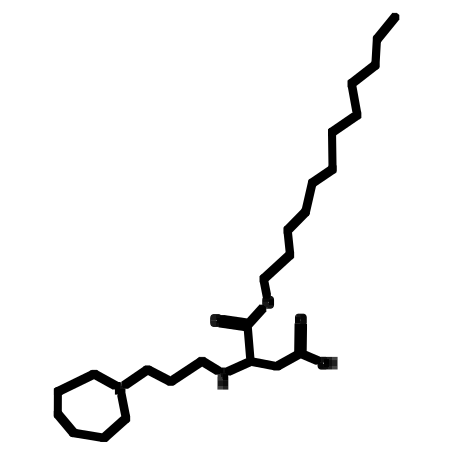 CCCCCCCCCCCCOC(=O)C(CC(=O)O)NCCCN1CCCCCC1